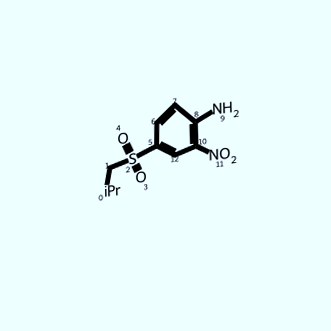 CC(C)CS(=O)(=O)c1ccc(N)c([N+](=O)[O-])c1